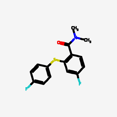 CN(C)C(=O)c1ccc(F)cc1Sc1ccc(F)cc1